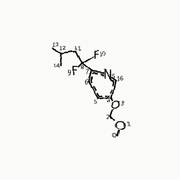 COCOc1ccc(C(F)(F)CC(C)C)nc1